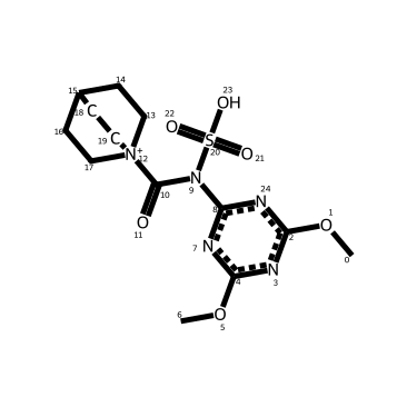 COc1nc(OC)nc(N(C(=O)[N+]23CCC(CC2)CC3)S(=O)(=O)O)n1